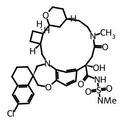 CNS(=O)(=O)NC(=O)[C@@]1(O)CC(=O)N(C)CC[C@H]2CCO[C@@H](C2)[C@@H]2CC[C@H]2CN2C[C@@]3(CCCc4cc(Cl)ccc43)COc3ccc1cc32